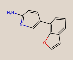 Nc1ccc(-c2cccc3ccoc23)cn1